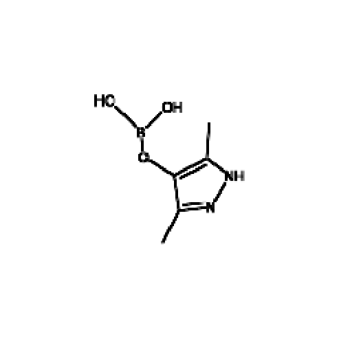 Cc1n[nH]c(C)c1OB(O)O